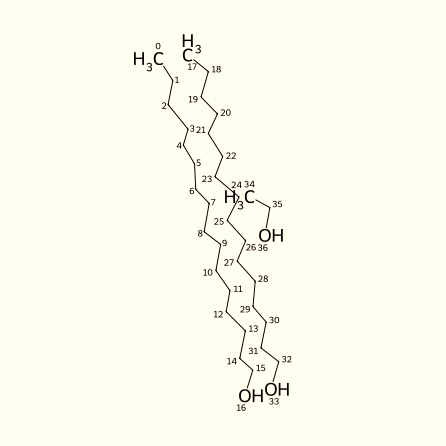 CCCCCCCCCCCCCCCCO.CCCCCCCCCCCCCCCCO.CCO